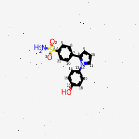 NS(=O)(=O)c1ccc(-c2cccn2-c2ccc(O)cc2)cc1